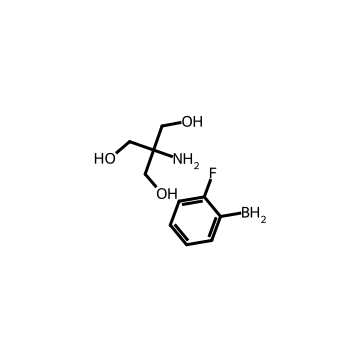 Bc1ccccc1F.NC(CO)(CO)CO